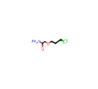 NC(=O)COCCCCl